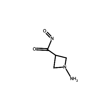 NN1CC(C(=O)N=O)C1